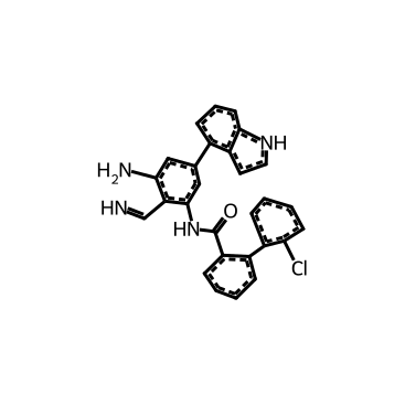 N=Cc1c(N)cc(-c2cccc3[nH]ccc23)cc1NC(=O)c1ccccc1-c1ccccc1Cl